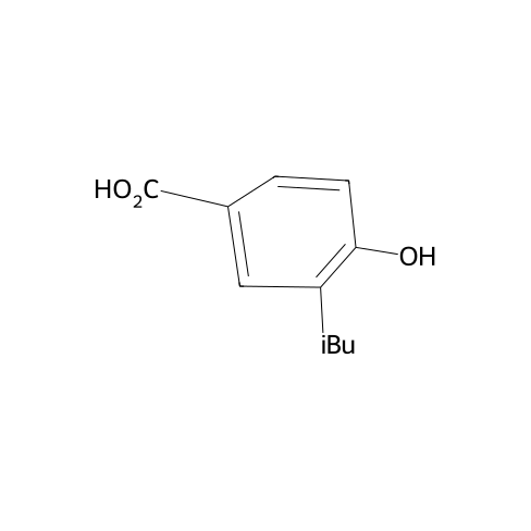 CCC(C)c1cc(C(=O)O)ccc1O